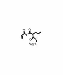 C=CC(=O)OC(=O)C(CCC)C(=O)OC.[MgH2]